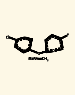 CNC.Fc1ccc(Oc2ccc(Cl)cc2)cc1